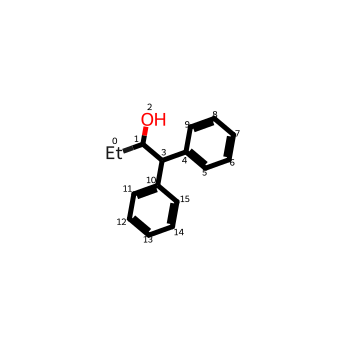 [CH2]CC(O)C(c1ccccc1)c1ccccc1